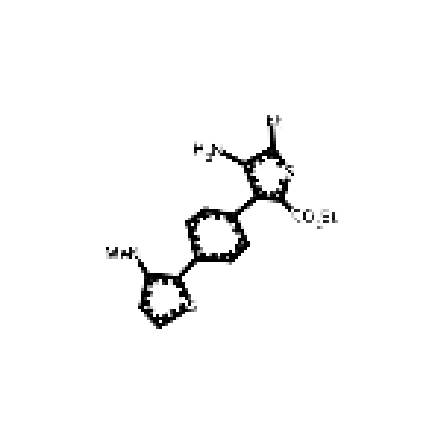 CCOC(=O)c1sc(CC)c(N)c1-c1ccc(-c2sccc2NC)cc1